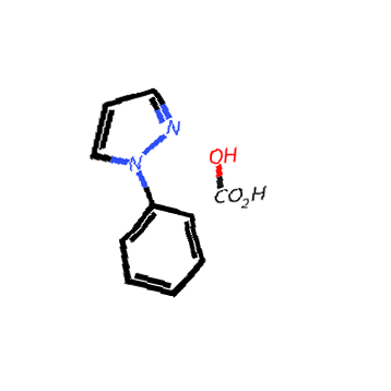 O=C(O)O.c1ccc(-n2cccn2)cc1